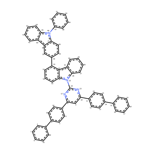 c1ccc(-c2ccc(-c3cc(-c4ccc(-c5ccccc5)cc4)nc(-n4c5ccccc5c5c(-c6ccc7c(c6)c6ccccc6n7-c6ccccc6)cccc54)n3)cc2)cc1